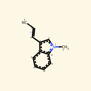 Cn1cc(/C=C/C#N)c2ccccc21